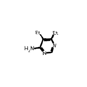 CCc1ncnc(N)c1CC